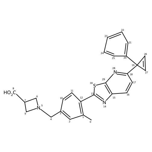 Cc1cc(CN2CC(C(=O)O)C2)ccc1-c1nc2ccc(C3(c4ccccc4)C=C3)nc2s1